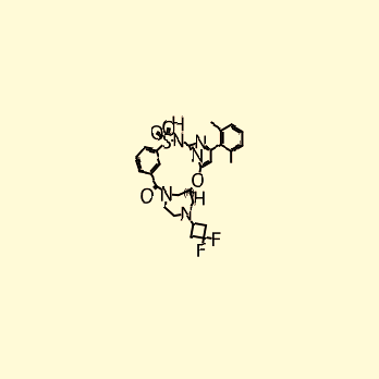 Cc1cccc(C)c1-c1cc2nc(n1)NS(=O)(=O)c1cccc(c1)C(=O)N1CCN(C3CC(F)(F)C3)C[C@H](C1)O2